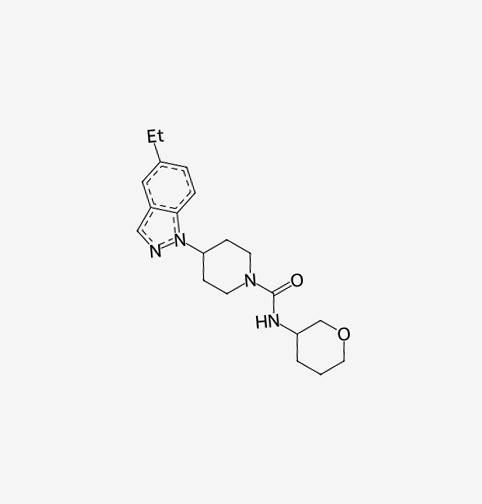 CCc1ccc2c(cnn2C2CCN(C(=O)NC3CCCOC3)CC2)c1